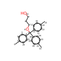 Cc1ccc(C(OCCCO)(c2ccc(C)cc2)c2ccc(C)cc2)cc1